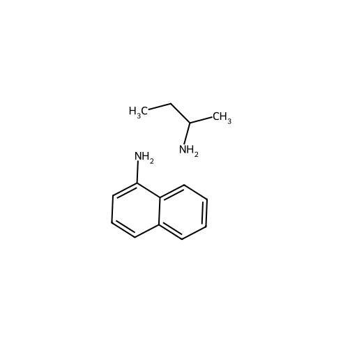 CCC(C)N.Nc1cccc2ccccc12